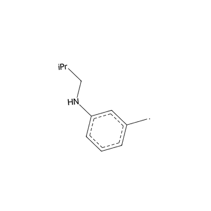 [CH2]c1cccc(NCC(C)C)c1